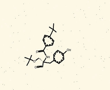 CC(C)(C)OC[C@@](C=O)(Cc1ccc(O)cc1)NC(=O)c1ccc(C(C)(C)C)cc1